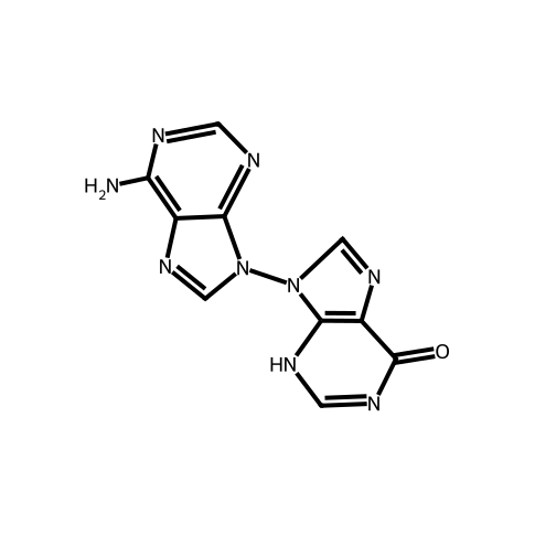 Nc1ncnc2c1ncn2-n1cnc2c(=O)nc[nH]c21